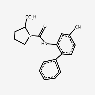 N#Cc1ccc(-c2ccccc2)c(NC(=O)N2CCCC2C(=O)O)c1